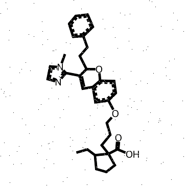 CCC1CCCC1(CCCOc1ccc2c(c1)C=C(c1nccn1C)C(CCc1ccccc1)O2)C(=O)O